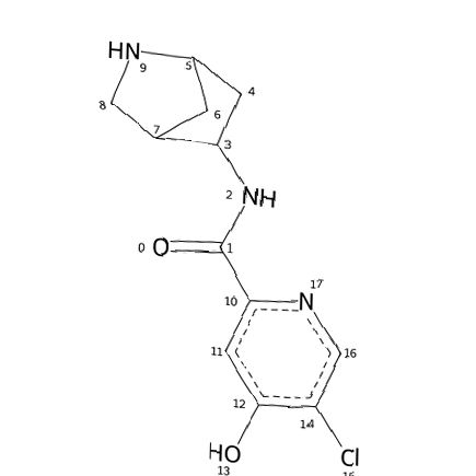 O=C(NC1CC2CC1CN2)c1cc(O)c(Cl)cn1